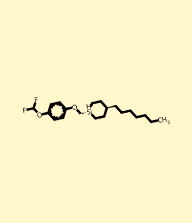 CCCCCCC[C@H]1CC[Si@H](COc2ccc(OC(F)F)cc2)CC1